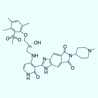 Cc1cc(C)c(OC[C@H](O)CNc2cc[nH]c(=O)c2-c2nc3cc4c(cc3[nH]2)C(=O)N(C2CCN(C)CC2)C4=O)c(S(C)(=O)=O)c1C